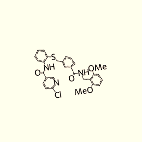 COc1cccc(OC)c1CNC(=O)c1cccc(CSc2ccccc2NC(=O)c2ccc(Cl)nc2)c1